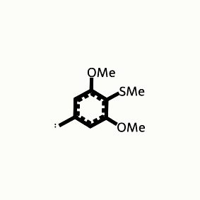 [CH]c1cc(OC)c(SC)c(OC)c1